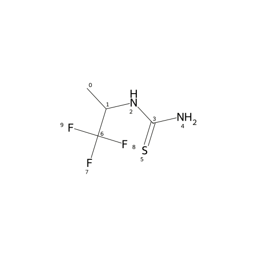 CC(NC(N)=S)C(F)(F)F